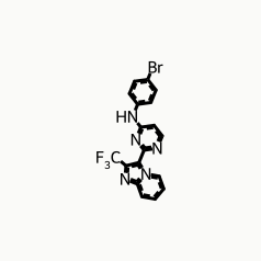 FC(F)(F)c1nc2ccccn2c1-c1nccc(Nc2ccc(Br)cc2)n1